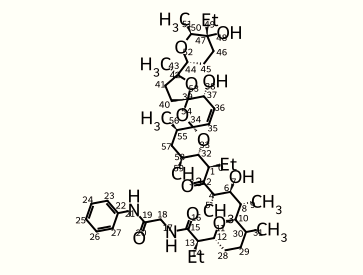 CC[C@@H](C(=O)[C@@H](C)[C@@H](O)[C@H](C)[C@@H]1O[C@@H]([C@@H](CC)C(=O)NCC(=O)Nc2ccccc2)CCC1C)[C@H]1O[C@]2(C=C[C@@H](O)[C@]3(CC[C@@](C)([C@H]4CC[C@](O)(CC)[C@H](C)O4)O3)O2)[C@H](C)C[C@@H]1C